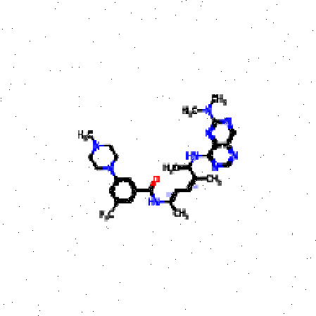 C=C(Nc1ncnc2cnc(N(C)C)nc12)/C(C)=C\C=C(/C)NC(=O)c1cc(N2CCN(C)CC2)cc(C(F)(F)F)c1